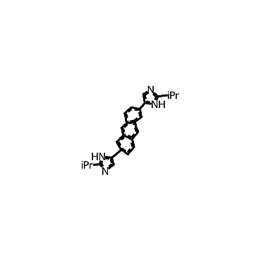 CC(C)c1ncc(-c2ccc3cc4cc(-c5cnc(C(C)C)[nH]5)ccc4cc3c2)[nH]1